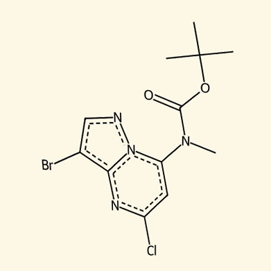 CN(C(=O)OC(C)(C)C)c1cc(Cl)nc2c(Br)cnn12